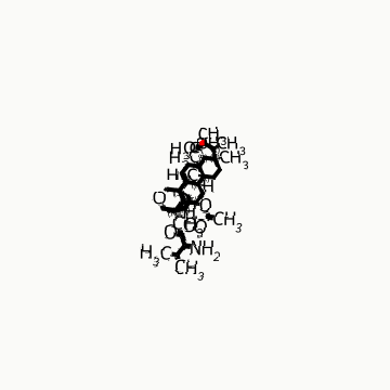 CC(=O)O[C@@H]1C[C@]23COC[C@@](C)([C@@H]2CC[C@H]2C3=CC[C@@]3(C)[C@H](C(=O)O)[C@@](C)([C@H](C)C(C)C)CC[C@]23C)[C@H]1OC(=O)C(N)C(C)C